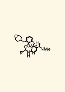 C=C(NC)c1cnc(NC(=O)C2CC2)nc1Nc1cccc(CC2CCOCC2)c1OC